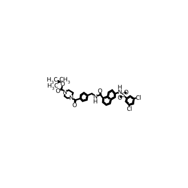 CC(C)(C)OC(=O)N1CCN(C(=O)c2ccc(CNC(=O)c3cccc4cc(NS(=O)(=O)c5cc(Cl)cc(Cl)c5)ccc34)cc2)CC1